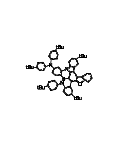 CC(C)(C)c1ccc(N2B3c4ccc(N(c5ccc(C(C)(C)C)cc5)c5ccc(C(C)(C)C)cc5)cc4-n4c5ccc(C(C)(C)C)cc5c5c6c(oc7ccccc76)c(c3c54)-c3cc(C(C)(C)C)ccc32)cc1